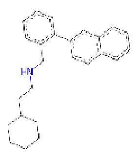 c1ccc(-c2ccc3ccccc3c2)c(CNCCC2CCCCC2)c1